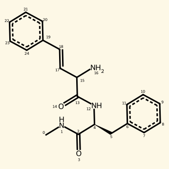 CNC(=O)[C@H](Cc1ccccc1)NC(=O)C(N)/C=C/c1ccccc1